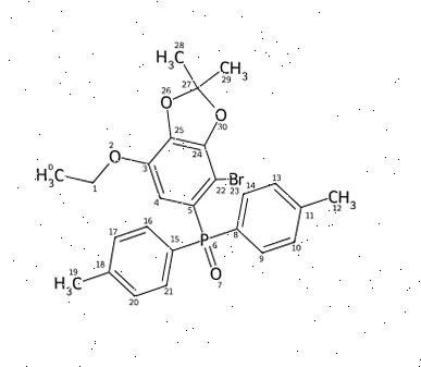 CCOc1cc(P(=O)(c2ccc(C)cc2)c2ccc(C)cc2)c(Br)c2c1OC(C)(C)O2